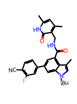 CCC(C)n1cc(C)c2c(C(=O)NCc3c(C)cc(C)[nH]c3=O)cc(-c3ccc(C#N)c(F)c3)cc21